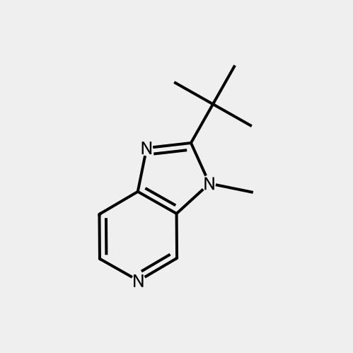 Cn1c(C(C)(C)C)nc2ccncc21